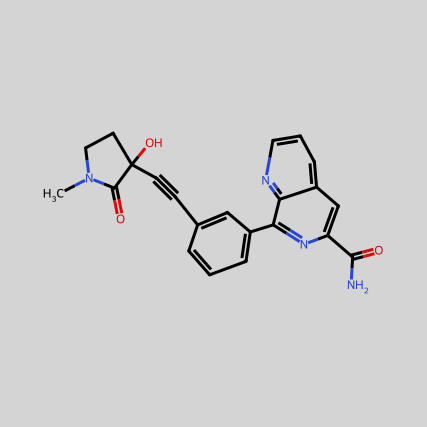 CN1CCC(O)(C#Cc2cccc(-c3nc(C(N)=O)cc4cccnc34)c2)C1=O